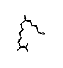 CC(=CCCCBr)CCCCCC(C)=C(C)C